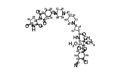 CC1(C)C(NC(=O)C2CC(N3CCC(CN4CCN(c5ccc6c(c5)C(=O)N(C5CCC(=O)NC5=O)C6=O)CC4)CC3)C2)C(C)(C)C1Oc1ccc(C#N)c(Cl)c1